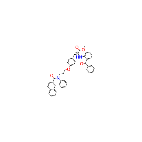 COC(=O)[C@H](Cc1ccc(OCCCN(C(=O)c2ccc3ccccc3c2)c2ccccc2)cc1)Nc1ccccc1C(=O)c1ccccc1